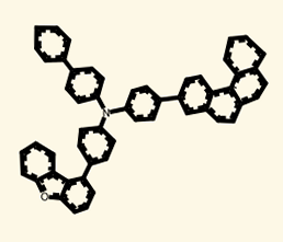 c1ccc(-c2ccc(N(c3ccc(-c4ccc5c(ccc6ccc7ccccc7c65)c4)cc3)c3ccc(-c4cccc5oc6ccccc6c45)cc3)cc2)cc1